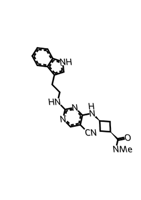 CNC(=O)[C@H]1C[C@@H](Nc2nc(NCCc3c[nH]c4ccccc34)ncc2C#N)C1